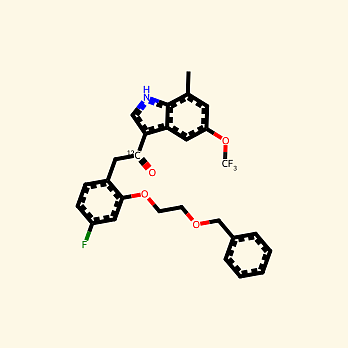 Cc1cc(OC(F)(F)F)cc2c([12C](=O)Cc3ccc(F)cc3OCCOCc3ccccc3)c[nH]c12